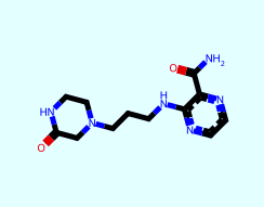 NC(=O)c1nccnc1NCCCN1CCNC(=O)C1